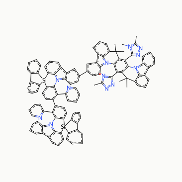 Cc1nnc(-c2c3c(c(-c4nnc(C)n4C)c4c2C(C)(C)c2cccc5c6ccccc6n-4c25)C(C)(C)c2cccc4c5cc(-c6ccc7c(c6)c6cccc8c6n7-c6c(ccc(-c7ccc9c(c7-c7ccccn7)-n7c%10ccccc%10c%10cccc(c%107)[Si]97c9ccccc9-c9ccccc97)c6-c6ccccn6)[Si]86c7ccccc7-c7ccccc76)ccc5n-3c24)n1C